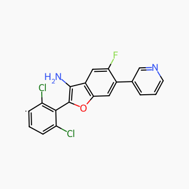 Nc1c(-c2c(Cl)[c]ccc2Cl)oc2cc(-c3cccnc3)c(F)cc12